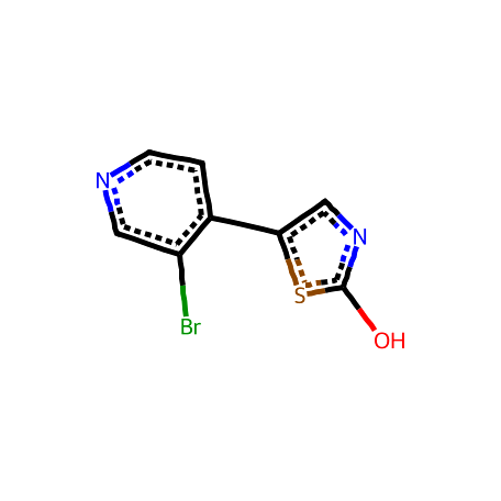 Oc1ncc(-c2ccncc2Br)s1